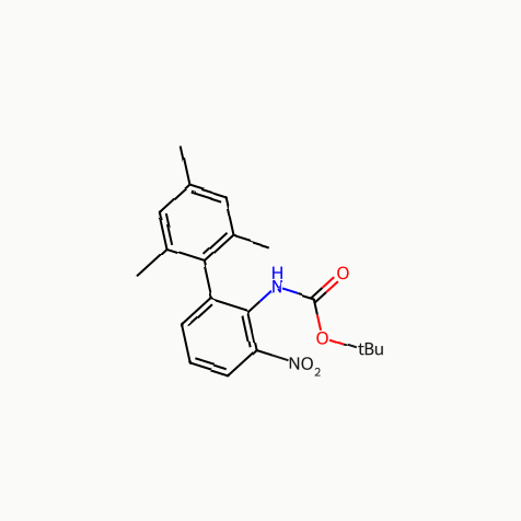 Cc1cc(C)c(-c2cccc([N+](=O)[O-])c2NC(=O)OC(C)(C)C)c(C)c1